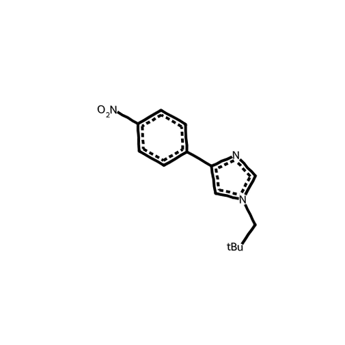 CC(C)(C)Cn1cnc(-c2ccc([N+](=O)[O-])cc2)c1